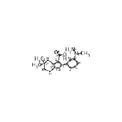 CN(N)c1cccc(-c2sc3c(c2C(=O)O)CC(C)(C)CC3)c1